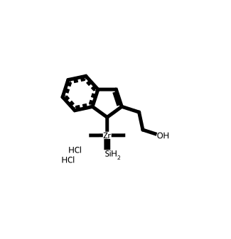 Cl.Cl.[CH3][Zr]([CH3])(=[SiH2])[CH]1C(CCO)=Cc2ccccc21